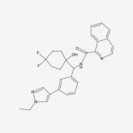 CCn1cc(-c2cccc(C(NC(=O)c3nccc4ccccc34)C3(O)CCC(F)(F)CC3)c2)cn1